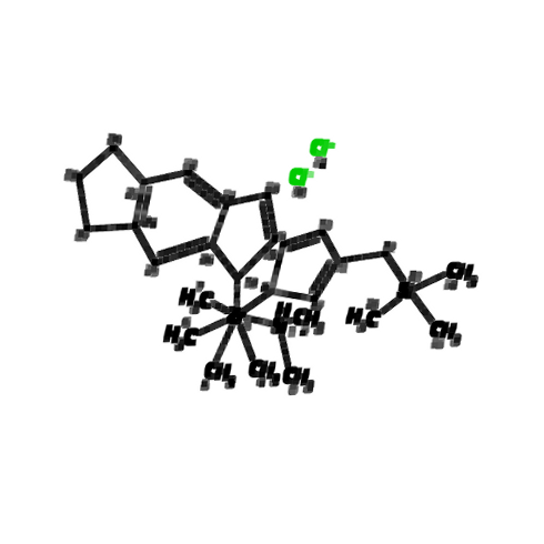 C[SiH](C)[Zr]([CH3])([CH3])([CH3])([CH3])([CH]1C=CC(C[Si](C)(C)C)=C1)[CH]1C=Cc2cc3c(cc21)CCC3.[Cl-].[Cl-]